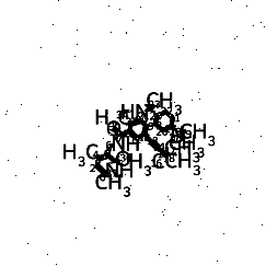 Cc1cc(C)c(CNC(=O)c2cc(C#CC(C)(C)C)cc(NC(C)[C@H]3CC[C@H](N(C)C)CC3)c2C)c(=O)[nH]1